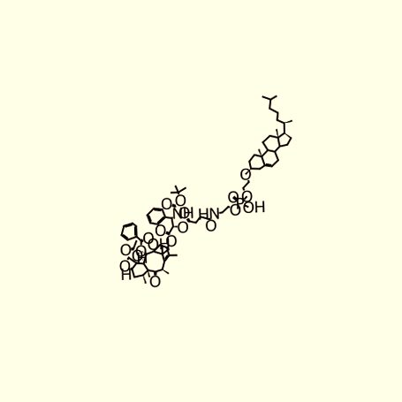 CC(=O)O[C@@]12CO[C@@H]1C[C@H](C)[C@@]1(C)C(=O)[C@H](C)C3=C(C)[C@@H](OC(=O)[C@H](OC(=O)CCC(=O)NCCOP(=O)(O)OCCO[C@H]4CC[C@@]5(C)C(=CCC6C5CC[C@@]5(C)C6CC[C@@H]5[C@H](C)CCCC(C)C)C4)[C@@H](NC(=O)OC(C)(C)C)c4ccccc4)C[C@@](O)([C@@H](OC(=O)c4ccccc4)[C@H]21)C3(C)C